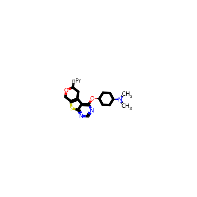 CCCC1Cc2c(sc3ncnc(O[C@H]4CC[C@H](N(C)C)CC4)c23)CO1